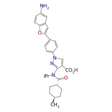 CC(C)N(c1nn(-c2ccc(-c3cc4cc(N)ccc4o3)cc2)cc1C(=O)O)C(=O)[C@H]1CC[C@H](C)CC1